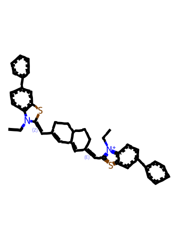 CCN1/C(=C/C2=CC3=C/C(=C/c4sc5cc(-c6ccccc6)ccc5[n+]4CC)CCC3CC2)Sc2cc(-c3ccccc3)ccc21